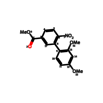 COC(=O)c1ccc([N+](=O)[O-])c(-c2ccc(OC)cc2OC)c1